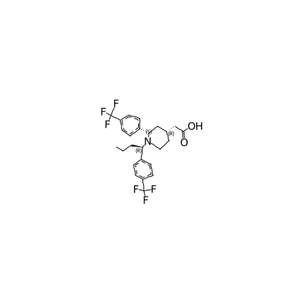 CCC[C@H](c1ccc(C(F)(F)F)cc1)N1CC[C@@H](CC(=O)O)C[C@H]1c1ccc(C(F)(F)F)cc1